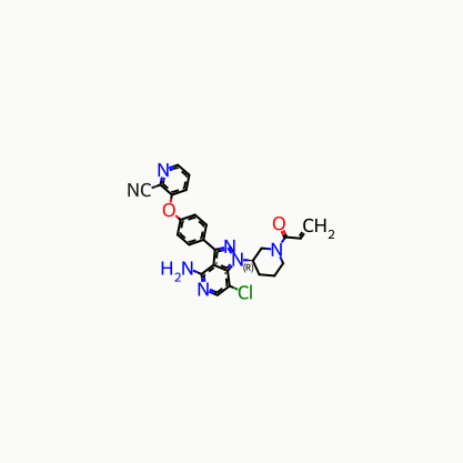 C=CC(=O)N1CCC[C@@H](n2nc(-c3ccc(Oc4cccnc4C#N)cc3)c3c(N)ncc(Cl)c32)C1